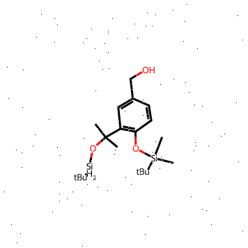 CC(C)(C)[SiH2]OC(C)(C)c1cc(CO)ccc1O[Si](C)(C)C(C)(C)C